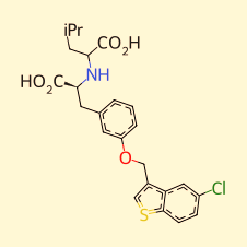 CC(C)CC(N[C@@H](Cc1cccc(OCc2csc3ccc(Cl)cc23)c1)C(=O)O)C(=O)O